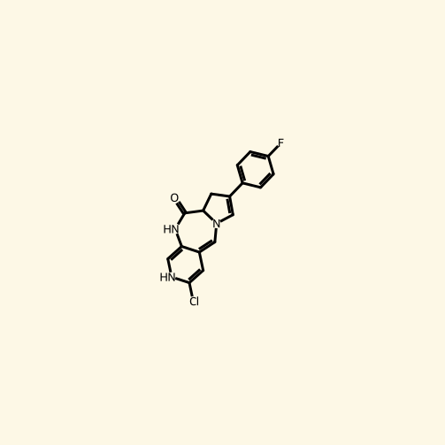 O=C1NC2=CNC(Cl)=CC2=CN2C=C(c3ccc(F)cc3)CC12